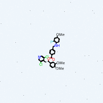 COc1ccc(NCc2ccc(C(=O)O[C@@H](Cc3c(Cl)cncc3Cl)c3ccc(OC)c(OC)c3)cc2)c(F)c1